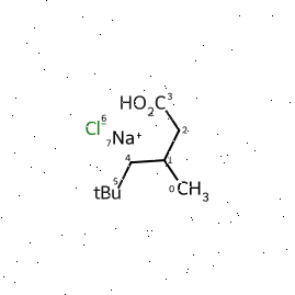 CC(CC(=O)O)CC(C)(C)C.[Cl-].[Na+]